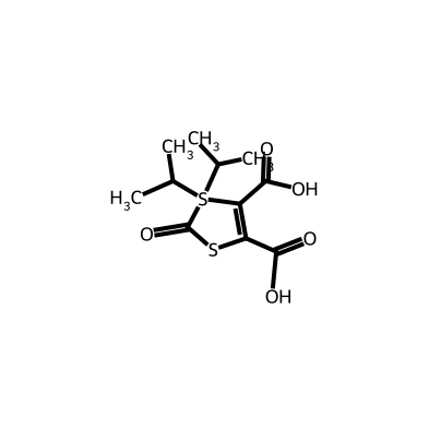 CC(C)S1(C(C)C)C(=O)SC(C(=O)O)=C1C(=O)O